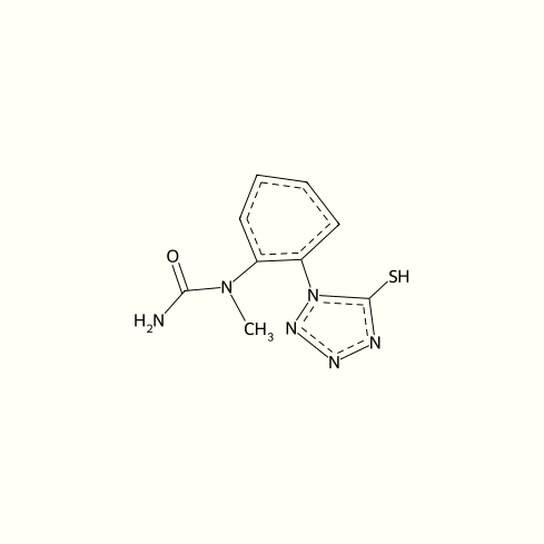 CN(C(N)=O)c1ccccc1-n1nnnc1S